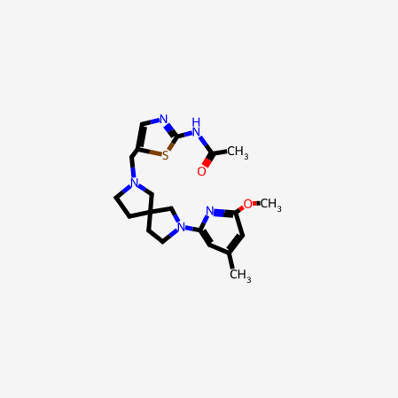 COc1cc(C)cc(N2CCC3(CCN(Cc4cnc(NC(C)=O)s4)C3)C2)n1